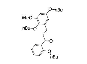 CCCCOc1cc(CCC(=O)c2ccccc2OCCCC)c(OCCCC)c(OC)c1